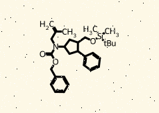 C=C(C)CN(C(=O)OCc1ccccc1)C1CC(CO[Si](C)(C)C(C)(C)C)C(c2ccccc2)C1